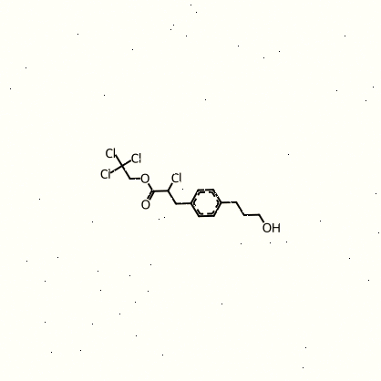 O=C(OCC(Cl)(Cl)Cl)C(Cl)Cc1ccc(CCCO)cc1